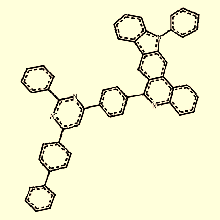 c1ccc(-c2ccc(-c3cc(-c4ccc(-c5nc6ccccc6c6cc7c(cc56)c5ccccc5n7-c5ccccc5)cc4)nc(-c4ccccc4)n3)cc2)cc1